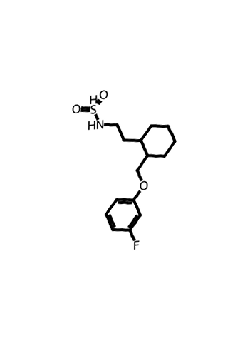 O=[SH](=O)NCCC1CCCCC1COc1cccc(F)c1